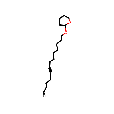 C=CCCCC#CCCCCCCCOC1CCCCO1